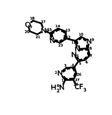 Nc1ncc(-c2ccc3ncc(-c4ccc(N5CCOCC5)nc4)n3n2)cc1C(F)(F)F